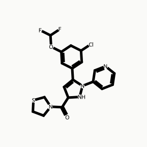 O=C(C1C=C(C2=CC(Cl)CC(OC(F)F)=C2)N(c2cccnc2)N1)N1CCSC1